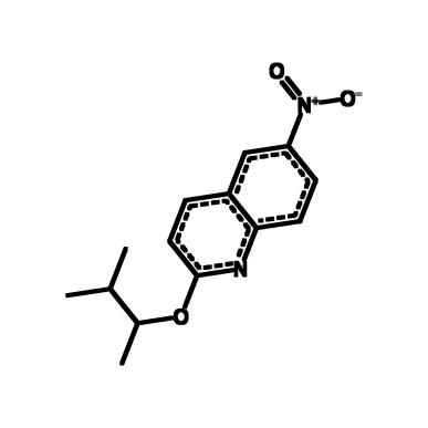 CC(C)C(C)Oc1ccc2cc([N+](=O)[O-])ccc2n1